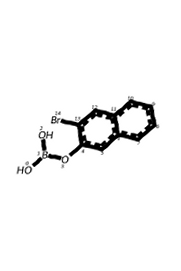 OB(O)Oc1cc2ccccc2cc1Br